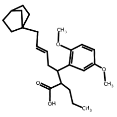 CCCC(C(=O)O)C(CC=CCC12CCC(CC1)C2)c1cc(OC)ccc1OC